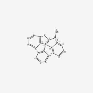 CCC(=O)C(C)=P(c1ccccc1)(c1ccccc1)c1ccccc1